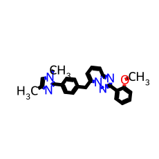 COc1ccccc1-c1nc2cccc(Cc3ccc(-c4nc(C)cn4C)cc3)n2n1